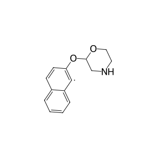 [c]1c(OC2CNCCO2)ccc2ccccc12